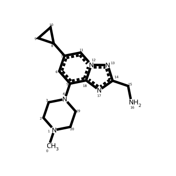 CN1CCN(c2cc(C3CC3)cn3nc(CN)nc23)CC1